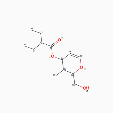 CCC(CC)C(=O)OC1C=COC(CO)C1C